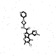 Cc1nc2sc(C(=O)NC3CN(c4cccnc4)C3)c(-c3cnn(C)c3)c2c(C)c1Cl